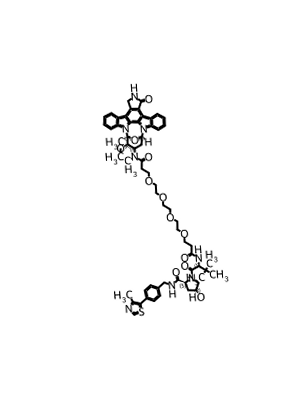 CO[C@@H]1[C@H](N(C)C(=O)CCOCCOCCOCCOCCC(=O)N[C@H](C(=O)N2C[C@H](O)C[C@H]2C(=O)NCc2ccc(-c3scnc3C)cc2)C(C)(C)C)C[C@H]2O[C@]1(C)n1c3ccccc3c3c4c(c5c6ccccc6n2c5c31)C(=O)NC4